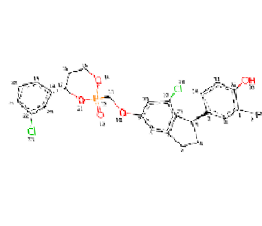 CC(C)c1cc([C@H]2CCc3cc(OC[P@]4(=O)OCC[C@@H](c5cccc(Cl)c5)O4)cc(Cl)c32)ccc1O